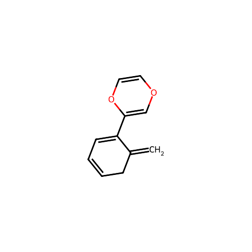 C=C1CC=CC=C1C1=COC=CO1